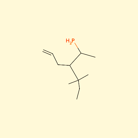 C=CCC(C(C)P)C(C)(C)CC